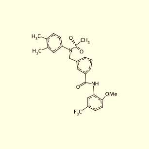 COc1ccc(C(F)(F)F)cc1NC(=O)c1cccc(CN(c2ccc(C)c(C)c2)S(C)(=O)=O)c1